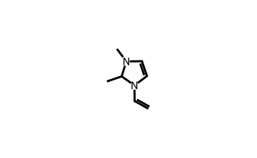 C=CN1C=CN(C)C1C